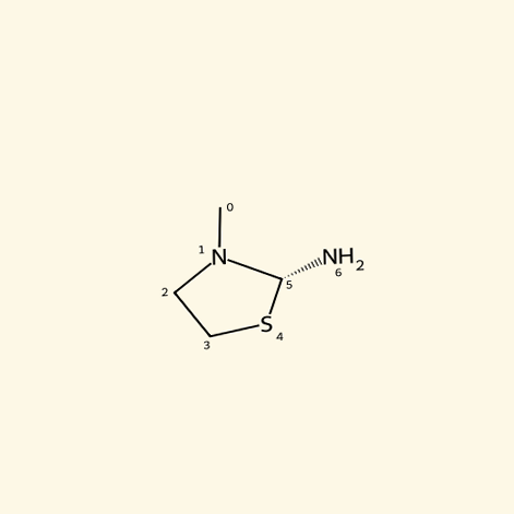 CN1CCS[C@H]1N